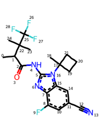 CC(C(=O)Nc1nc2c(F)cc(C#N)cc2n1C1(C)CCC1)C(C)(C)C(F)(F)F